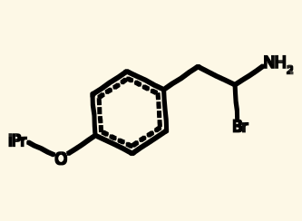 CC(C)Oc1ccc(CC(N)Br)cc1